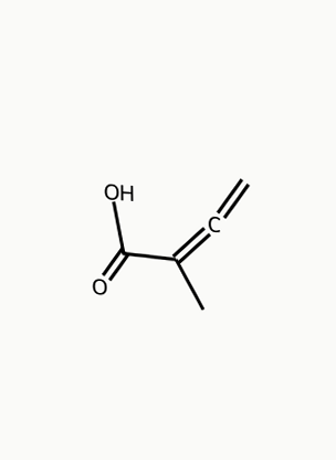 C=C=C(C)C(=O)O